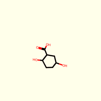 O=C(O)C1CC(O)CCC1O